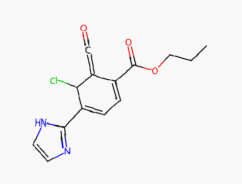 CCCOC(=O)C1=CC=C(c2ncc[nH]2)C(Cl)C1=C=O